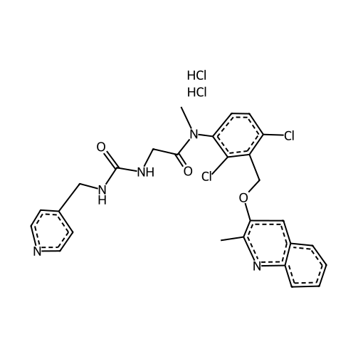 Cc1nc2ccccc2cc1OCc1c(Cl)ccc(N(C)C(=O)CNC(=O)NCc2ccncc2)c1Cl.Cl.Cl